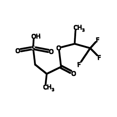 CC(CS(=O)(=O)O)C(=O)OC(C)C(F)(F)F